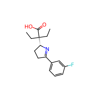 CCC(CC)(C(=O)O)[C@H]1CCC(c2cccc(F)c2)=N1